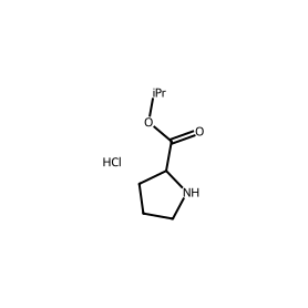 CC(C)OC(=O)C1CCCN1.Cl